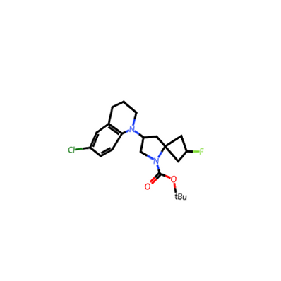 CC(C)(C)OC(=O)N1CC(N2CCCc3cc(Cl)ccc32)CC12CC(F)C2